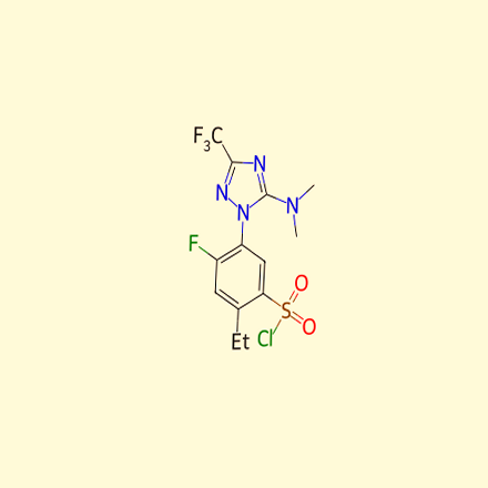 CCc1cc(F)c(-n2nc(C(F)(F)F)nc2N(C)C)cc1S(=O)(=O)Cl